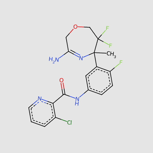 CC1(c2cc(NC(=O)c3ncccc3Cl)ccc2F)N=C(N)COCC1(F)F